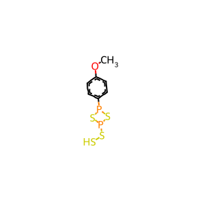 COc1ccc(P2SP(SS)S2)cc1